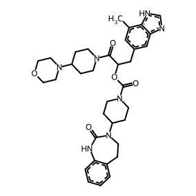 Cc1cc(CC(OC(=O)N2CCC(N3CCc4ccccc4NC3=O)CC2)C(=O)N2CCC(N3CCOCC3)CC2)cc2nc[nH]c12